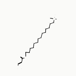 CC=CC(=O)OCCCCCCCCCCCCCC[Si](F)(F)F